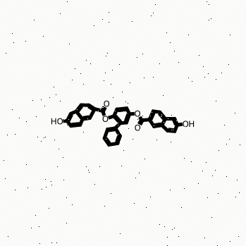 O=C(Oc1ccc(OC(=O)c2ccc3cc(O)ccc3c2)c(-c2ccccc2)c1)c1ccc2cc(O)ccc2c1